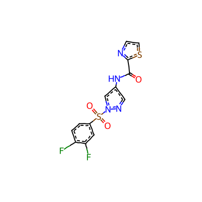 O=C(Nc1cnn(S(=O)(=O)c2ccc(F)c(F)c2)c1)c1nccs1